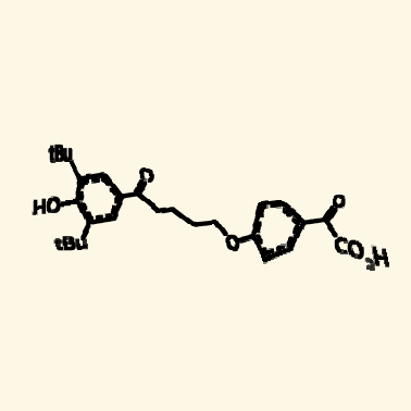 CC(C)(C)c1cc(C(=O)CCCCOc2ccc(C(=O)C(=O)O)cc2)cc(C(C)(C)C)c1O